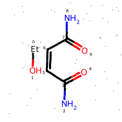 CCO.NC(=O)/C=C\C(N)=O